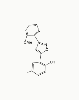 COc1cccnc1-c1noc(-c2cc(C)ccc2O)n1